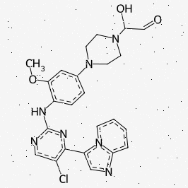 COc1cc(N2CCN(C(O)C=O)CC2)ccc1Nc1ncc(Cl)c(-c2cnc3ccccn23)n1